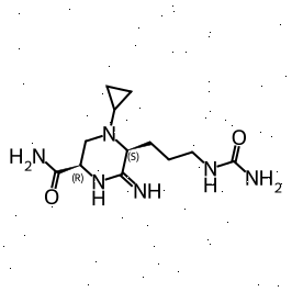 N=C1N[C@@H](C(N)=O)CN(C2CC2)[C@H]1CCCNC(N)=O